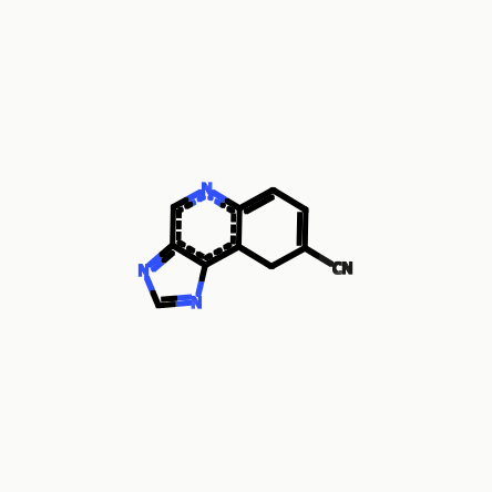 N#CC1=CC=c2ncc3c(c2C1)N=CN=3